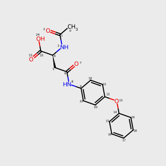 CC(=O)N[C@@H](CC(=O)Nc1ccc(Oc2ccccc2)cc1)C(=O)O